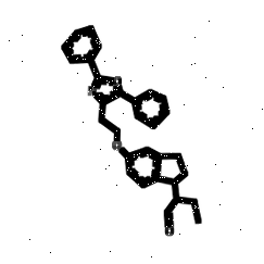 CCC(C=O)C1CCc2cc(OCCc3nc(-c4ccccc4)oc3-c3ccccc3)ccc21